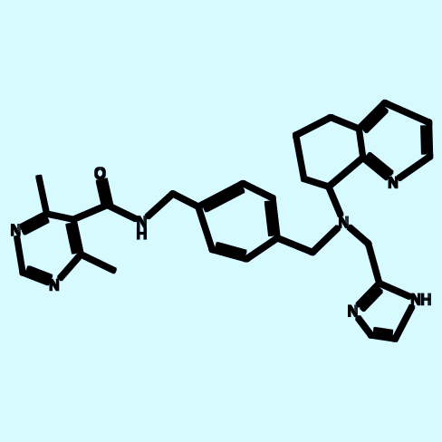 Cc1ncnc(C)c1C(=O)NCc1ccc(CN(Cc2ncc[nH]2)C2CCCc3cccnc32)cc1